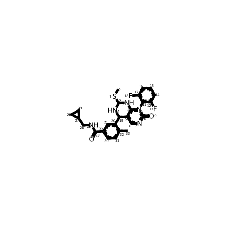 CSC1Nc2c(cnc(=O)n2-c2c(F)cccc2F)C(c2cc(C(=O)NCC3CC3)ccc2C)N1